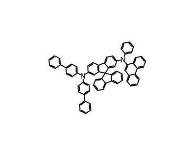 c1ccc(-c2ccc(N(c3ccc(-c4ccccc4)cc3)c3ccc4c(c3)C3(c5ccccc5-c5ccccc53)c3cc(N(c5ccccc5)c5cc6ccccc6c6ccccc56)ccc3-4)cc2)cc1